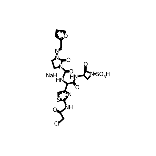 O=C(CCl)Nc1nc(C(NC(=O)N2CCN(N=Cc3ccco3)C2=O)C(=O)NC2CN(S(=O)(=O)O)C2=O)cs1.[NaH]